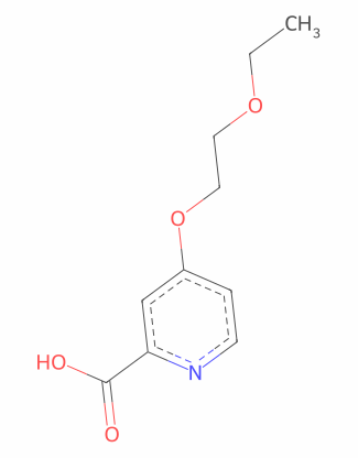 CCOCCOc1ccnc(C(=O)O)c1